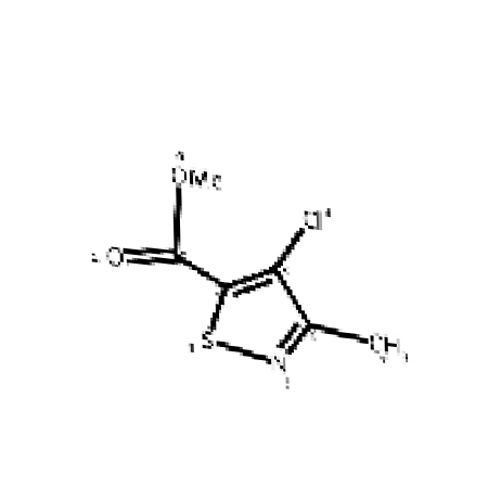 COC(=O)c1snc(C)c1Cl